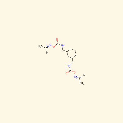 CC/C(C)=N\OC(=O)NCC1CCCC(CNC(=O)O/N=C(/C)CC)C1